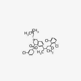 CC(CC(=O)c1c(Cl)cccc1Cl)C(C)c1ccc2c(c1)C(S(=O)(=O)C1C=C(Cl)C=CC1)C[C@H](CCN(C)C)C2